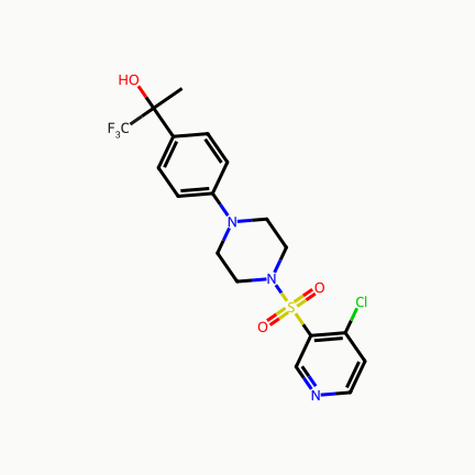 CC(O)(c1ccc(N2CCN(S(=O)(=O)c3cnccc3Cl)CC2)cc1)C(F)(F)F